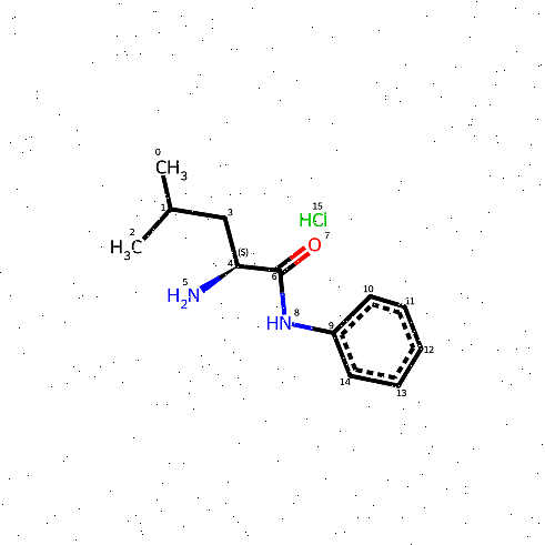 CC(C)C[C@H](N)C(=O)Nc1ccccc1.Cl